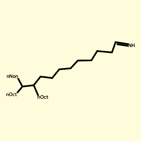 CCCCCCCCCC(CCCCCCCC)C(CCCCCCCC)CCCCCCCCC=N